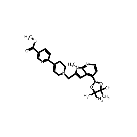 COC(=O)c1ccc(C2=CCN(Cc3cc4c(B5OC(C)(C)C(C)(C)O5)ccnc4n3C)CC2)nc1